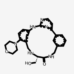 O=C1NCc2cccc(c2)-c2ccnc(n2)Nc2ccc(N3CCOCC3)c(c2)CN[C@H]1CO